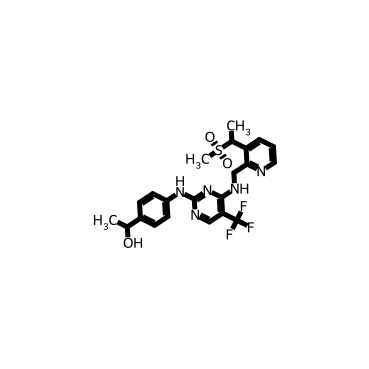 CC(O)c1ccc(Nc2ncc(C(F)(F)F)c(NCc3ncccc3C(C)S(C)(=O)=O)n2)cc1